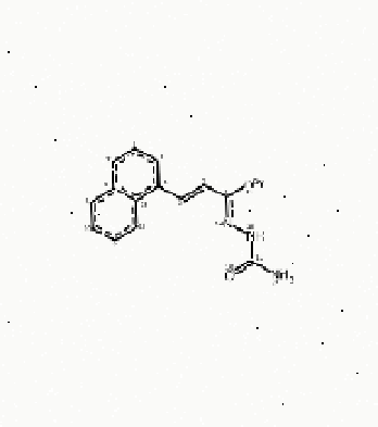 CCCC(C=Cc1cccc2ccccc12)=NNC(N)=O